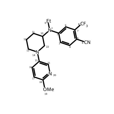 CCN(c1ccc(C#N)c(C(F)(F)F)c1)C1CCCN(c2ccc(OC)nc2)C1